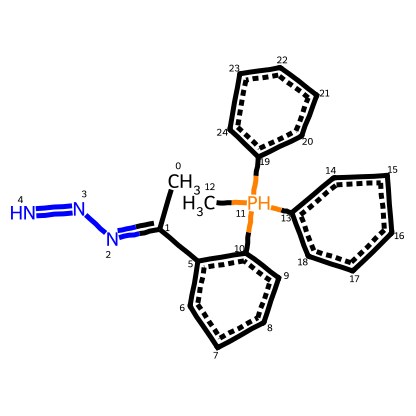 C/C(=N\N=N)c1ccccc1[PH](C)(c1ccccc1)c1ccccc1